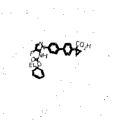 CC[C@]1(OC(=O)Nc2c(F)cnn2-c2ccc(-c3ccc(C4(C(=O)O)CC4)cc3)cc2)C=CC=CC1